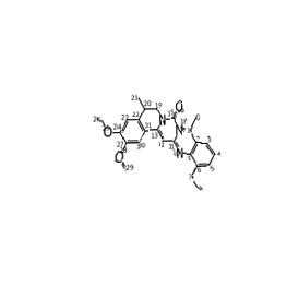 CCc1cccc(CC)c1/N=c1/cc2n(c(=O)n1C)CC(C)c1cc(OC)c(OC)cc1-2